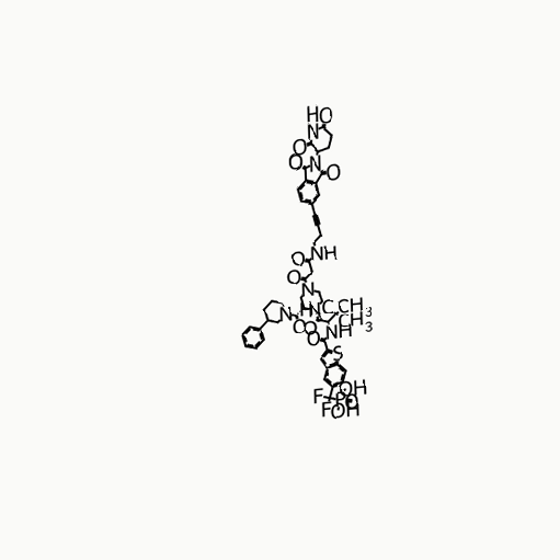 CC(C)(C)[C@H](NC(=O)c1cc2cc(C(F)(F)P(=O)(O)O)ccc2s1)C(=O)N1CCN(C(=O)CC(=O)NCCC#Cc2ccc3c(c2)C(=O)N(C2CCC(=O)NC2=O)C3=O)C[C@H]1C(=O)N1CCCC(c2ccccc2)C1